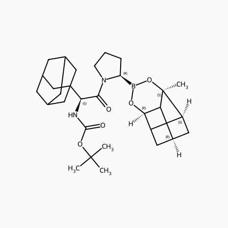 CC(C)(C)OC(=O)N[C@H](C(=O)N1CCC[C@H]1B1O[C@@H]2C3C[C@@H]4C[C@H]5C34C2[C@@]5(C)O1)C12CC3CC(CC(C3)C1)C2